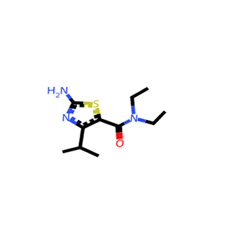 CCN(CC)C(=O)c1sc(N)nc1C(C)C